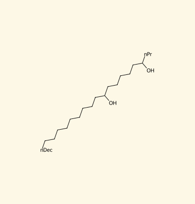 CCCCCCCCCCCCCCCCCCCC(O)CCCCCC(O)CCC